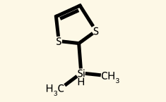 C[SiH](C)C1SC=CS1